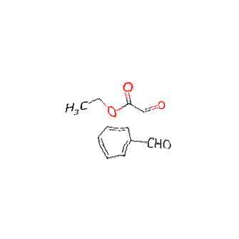 CCOC(=O)C=O.O=Cc1ccccc1